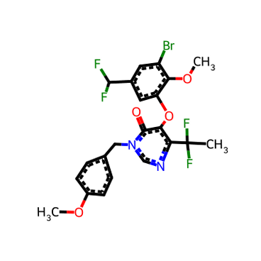 COc1ccc(Cn2cnc(C(C)(F)F)c(Oc3cc(C(F)F)cc(Br)c3OC)c2=O)cc1